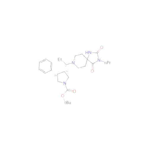 CCCN1C(=O)NC2(CCN(C(CC)[C@@H]3CN(C(=O)OC(C)(C)C)C[C@@H]3c3ccccc3)CC2)C1=O